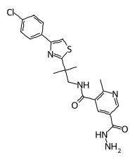 Cc1ncc(C(=O)NN)cc1C(=O)NCC(C)(C)c1nc(-c2ccc(Cl)cc2)cs1